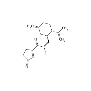 C=C1CC[C@H](C(=C)C)[C@@H](/C=C(/I)C(=O)C2=CC(=O)CC2)C1